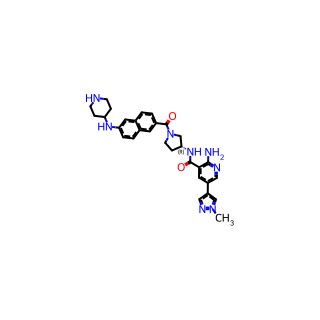 Cn1cc(-c2cnc(N)c(C(=O)N[C@@H]3CCN(C(=O)c4ccc5cc(NC6CCNCC6)ccc5c4)C3)c2)cn1